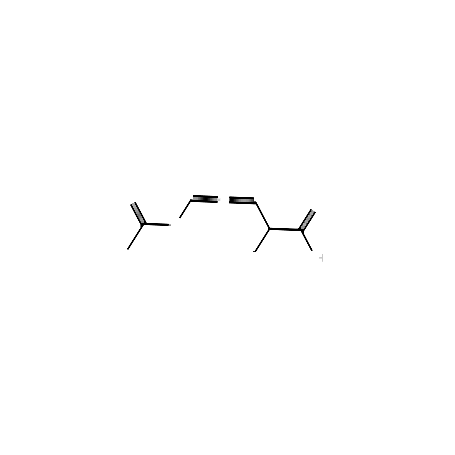 CC(=O)OC=C=CC(Cl)C(=O)O